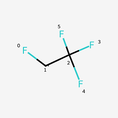 F[CH]C(F)(F)F